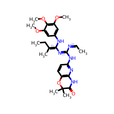 C\C=N/C(=N\C(Nc1cc(OC)c(OC)c(OC)c1)=C(/C)CC)Nc1ccc2c(n1)NC(=O)C(C)(C)O2